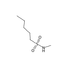 CCCCCS(=O)(=O)NC